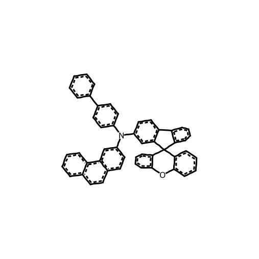 c1ccc(-c2ccc(N(c3ccc4c(c3)C3(c5ccccc5Oc5ccccc53)c3ccccc3-4)c3ccc4ccc5ccccc5c4c3)cc2)cc1